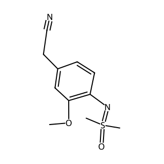 COc1cc(CC#N)ccc1N=S(C)(C)=O